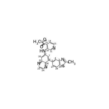 Cc1nc2cc(-c3cc(Nc4cnccc4S(C)(=O)=O)cc4nccnc34)ccc2s1